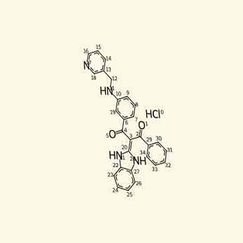 Cl.O=C(C(C(=O)c1cccc(NCc2cccnc2)c1)=C1Nc2ccccc2N1)c1ccccc1